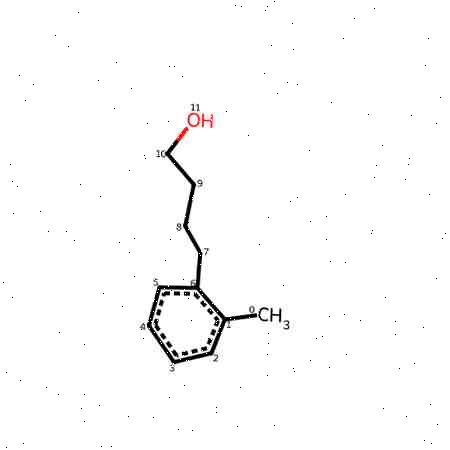 Cc1ccccc1CCCCO